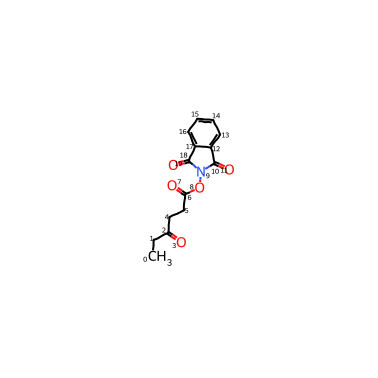 CCC(=O)CCC(=O)ON1C(=O)c2ccccc2C1=O